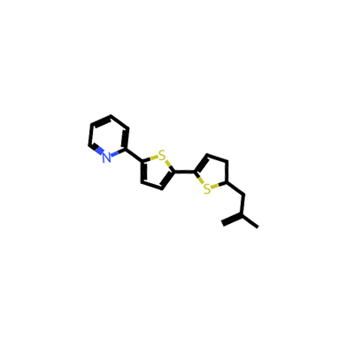 C=C(C)CC1CC=C(c2ccc(-c3ccccn3)s2)S1